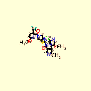 COc1ccc(C(F)F)c(C(=O)N2Cc3nc(NC(=O)c4cnc(C)cc4-c4cc(Cl)ncc4OC)sc3C2)n1